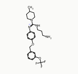 CC1CCN(/C(=N/c2ccc(OCc3cccc(OC(F)(F)F)c3)cc2)NCCCN)CC1